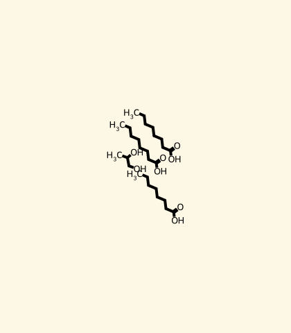 CC(O)CO.CCCCCCCC(=O)O.CCCCCCCC(=O)O.CCCCCCCC(=O)O